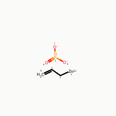 C=C[CH2][Zn+2].O=[PH]([O-])[O-]